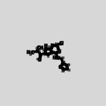 CN(C)C(=O)c1cc2c(NCc3ccco3)nc(Cl)nc2[nH]1